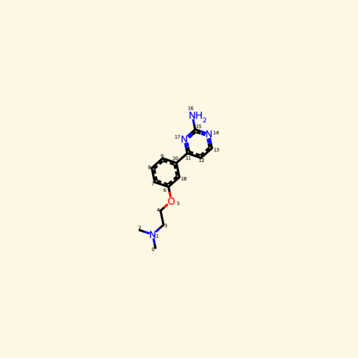 CN(C)CCOc1cccc(-c2ccnc(N)n2)c1